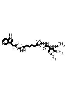 C=CN/C(C=C)=C(/C=N\C)CC(=O)Nc1nnc(CCCCc2nnc(NC(=O)Cc3c[nH]c4ccncc34)s2)s1